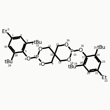 CCc1cc(C(C)(C)C)c(OP2OCC3(CO2)COP(Oc2c(C(C)(C)C)cc(CC)cc2C(C)(C)C)OC3)c(C(C)(C)C)c1